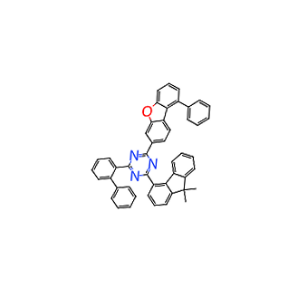 CC1(C)c2ccccc2-c2c(-c3nc(-c4ccc5c(c4)oc4cccc(-c6ccccc6)c45)nc(-c4ccccc4-c4ccccc4)n3)cccc21